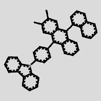 Cc1cc2c(-c3ccc(-n4c5ccccc5c5ccccc54)cc3)c3ccccc3c(-c3cccc4ccccc34)c2cc1C